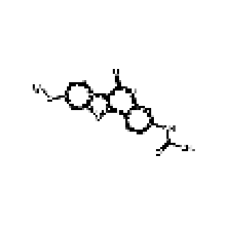 COc1ccc2c(c1)oc1c3ccc(NC(C)=O)cc3oc(=O)c21